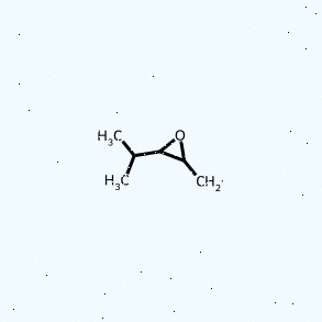 [CH2]C1OC1C(C)C